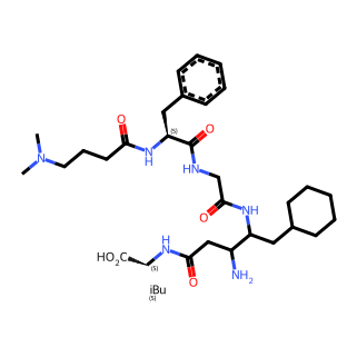 CC[C@H](C)[C@H](NC(=O)CC(N)C(CC1CCCCC1)NC(=O)CNC(=O)[C@H](Cc1ccccc1)NC(=O)CCCN(C)C)C(=O)O